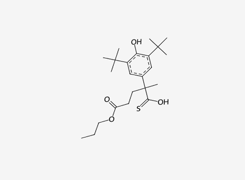 CCCOC(=O)CCC(C)(C(O)=S)c1cc(C(C)(C)C)c(O)c(C(C)(C)C)c1